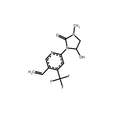 C=Cc1cnc(N2C(=O)N(C)CC2O)cc1C(F)(F)F